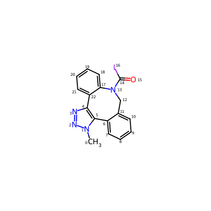 Cn1nnc2c1-c1ccccc1CN(C(=O)I)c1ccccc1-2